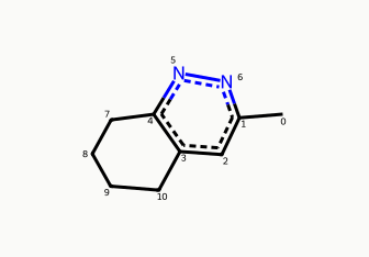 Cc1cc2c(nn1)CCCC2